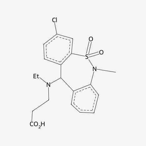 CCN(CCC(=O)O)C1c2ccccc2N(C)S(=O)(=O)c2cc(Cl)ccc21